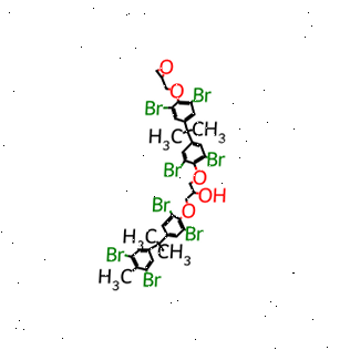 Cc1c(Br)cc(C(C)(C)c2cc(Br)c(OCC(O)COc3c(Br)cc(C(C)(C)c4cc(Br)c(OCC5CO5)c(Br)c4)cc3Br)c(Br)c2)cc1Br